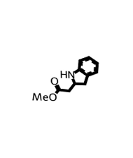 COC(=O)CC1Cc2ccccc2N1